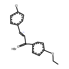 Br.CCOc1ccc(C(=O)/C=C/c2ccc(Cl)cc2)cc1